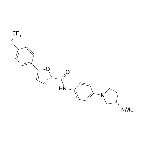 CNC1CCN(c2ccc(NC(=O)c3ccc(-c4ccc(OC(F)(F)F)cc4)o3)cc2)C1